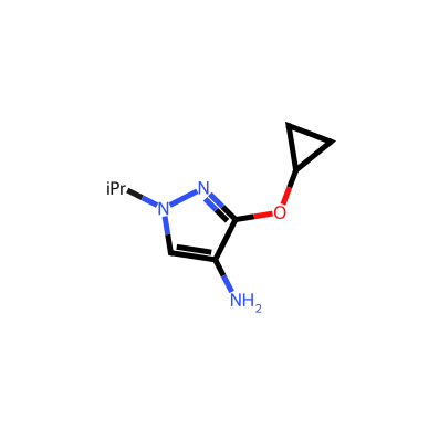 CC(C)n1cc(N)c(OC2CC2)n1